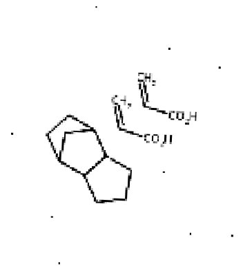 C1CC2C3CCC(C3)C2C1.C=CC(=O)O.C=CC(=O)O